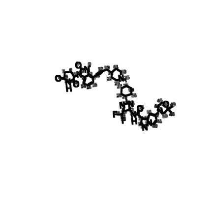 Cn1c(=O)n(C2CCC(=O)NC2=O)c2cccc(C#CCC3CCN(C[C@H]4CC[C@H](C5N=C(NC(=O)c6cnn7ccc(N8CCOC(C)(C)C8)cc67)C(C(F)F)=N5)CC4)CC3)c21